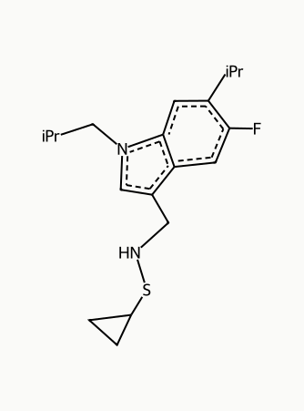 CC(C)Cn1cc(CNSC2CC2)c2cc(F)c(C(C)C)cc21